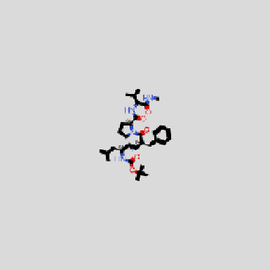 CNC(=O)C(NC(=O)[C@@H]1CCCN1C(=O)[C@H](/C=C/[C@H](CC(C)C)NC(=O)OC(C)(C)C)Cc1ccccc1)C(C)C